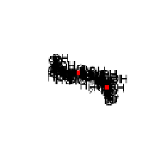 Nc1c(N=Nc2ccc3c(O)c(N=Nc4ccc(N=Nc5c(C(=O)O)nn(-c6cc(S(=O)(=O)O)ccc6S(=O)(=O)O)c5O)c(S(=O)(=O)O)c4)c(S(=O)(=O)O)cc3c2S(=O)(=O)O)cc(S(=O)(=O)O)c2cc(SOOO)c(N=Nc3ccc([N+](=O)[O-])cc3S(=O)(=O)O)c(O)c12